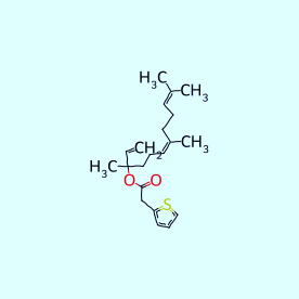 C=CC(C)(CCC=C(C)CCC=C(C)C)OC(=O)Cc1cccs1